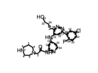 O=C(CN1CCCNCC1)Nc1cc(Nc2cc(-c3cc(Cl)ccc3F)nnc2SCCO)ccn1